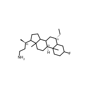 CC[C@H]1CC2C3CCC([C@H](C)CCN)C3(C)CC[C@@H]2C2(C)CCC(F)CC12